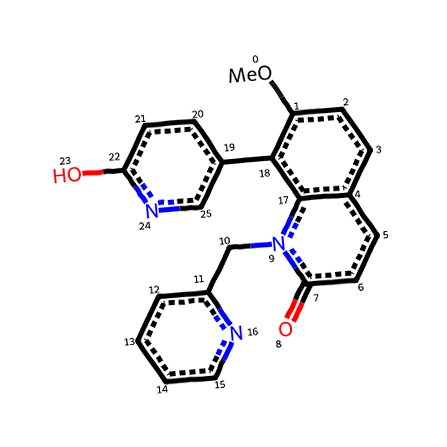 COc1ccc2ccc(=O)n(Cc3ccccn3)c2c1-c1ccc(O)nc1